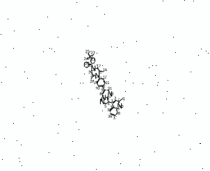 Cc1cc(-c2cnn3cc(-c4ccc(N5C(C)CN(C(=O)OC(C)(C)C)CC5C)cc4)cnc23)c2ccccc2n1